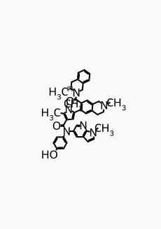 Cc1c(C(=O)N(c2ccc(O)cc2)c2cnc3c(ccn3C)c2)cc(-c2cc3c(cc2C(=O)N2Cc4ccccc4C[C@H]2C)CN(C)CC3)n1C